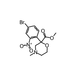 COC(=O)C1(c2ccc(Br)cc2[N+](=O)[O-])CN(C)CCO1